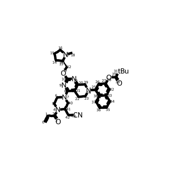 C=CC(=O)N1CCN(c2nc(OC[C@H]3CCCN3C)nc3c2CCN(c2cc(OC(=O)C(C)(C)C)cc4ccccc24)C3)CC1CC#N